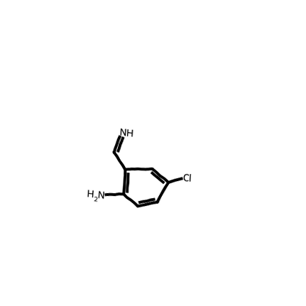 N=Cc1cc(Cl)ccc1N